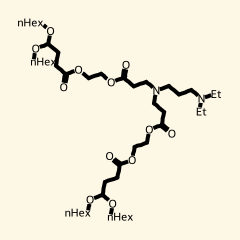 CCCCCCOC(CCC(=O)OCCOC(=O)CCN(CCCN(CC)CC)CCC(=O)OCCOC(=O)CCC(OCCCCCC)OCCCCCC)OCCCCCC